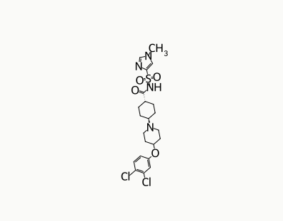 Cn1cnc(S(=O)(=O)NC(=O)[C@H]2CC[C@H](N3CCC(Oc4ccc(Cl)c(Cl)c4)CC3)CC2)c1